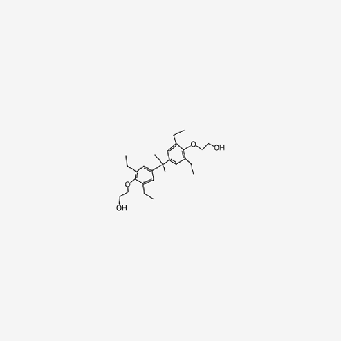 CCc1cc(C(C)(C)c2cc(CC)c(OCCO)c(CC)c2)cc(CC)c1OCCO